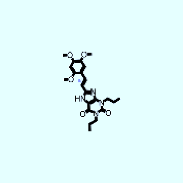 CCCn1c(=O)c2[nH]c(/C=C/c3cc(OC)c(OC)cc3OC)nc2n(CCC)c1=O